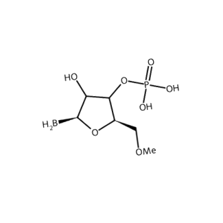 B[C@@H]1O[C@H](COC)C(OP(=O)(O)O)C1O